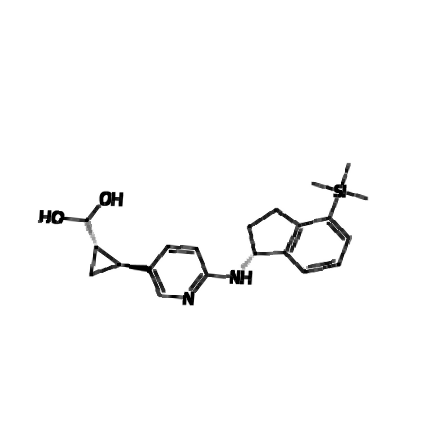 C[Si](C)(C)c1cccc2c1CC[C@H]2Nc1ccc([C@H]2C[C@@H]2C(O)O)cn1